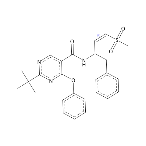 CC(C)(C)c1ncc(C(=O)NC(/C=C\S(C)(=O)=O)Cc2ccccc2)c(Oc2ccccc2)n1